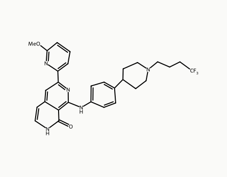 COc1cccc(-c2cc3cc[nH]c(=O)c3c(Nc3ccc(C4CCN(CCCC(F)(F)F)CC4)cc3)n2)n1